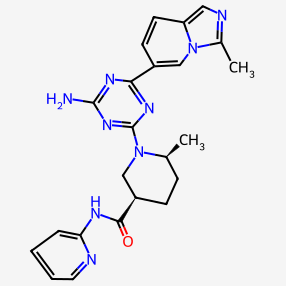 Cc1ncc2ccc(-c3nc(N)nc(N4C[C@H](C(=O)Nc5ccccn5)CC[C@@H]4C)n3)cn12